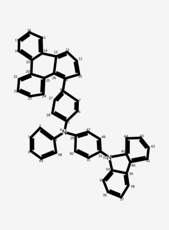 c1ccc(N(c2ccc(-c3cccc4c5ccccc5c5ccccc5c34)cc2)c2ccc(-n3c4ccccc4c4ccccc43)cc2)cc1